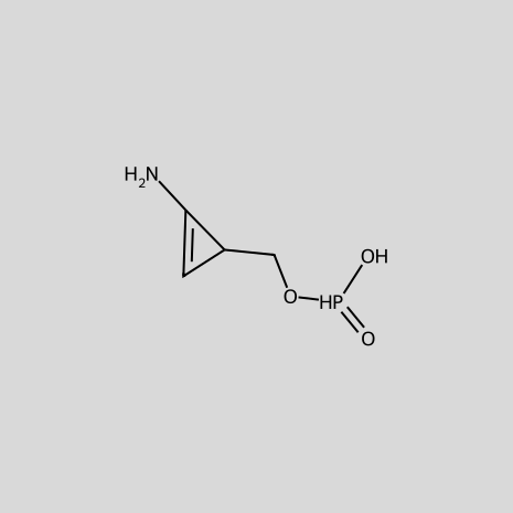 NC1=CC1CO[PH](=O)O